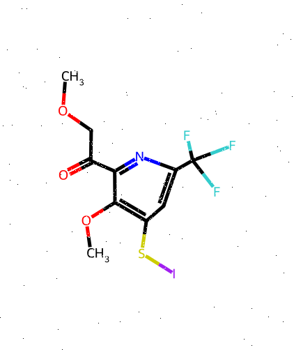 COCC(=O)c1nc(C(F)(F)F)cc(SI)c1OC